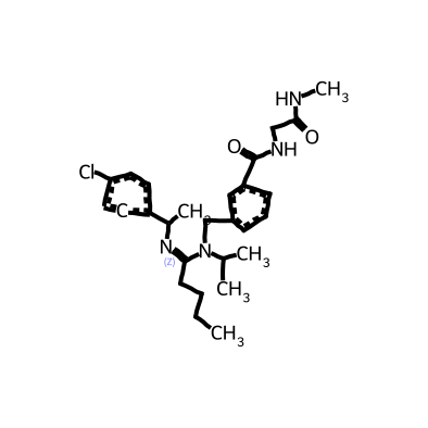 CCCC/C(=N/C(C)c1ccc(Cl)cc1)N(Cc1cccc(C(=O)NCC(=O)NC)c1)C(C)C